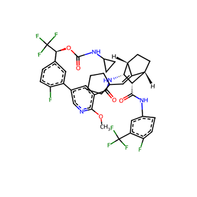 COc1ncc(-c2cc([C@H](OC(=O)NC3CC3)C(F)(F)F)ccc2F)cc1C(=O)N[C@H]1[C@@H](C(=O)Nc2ccc(F)c(C(F)(F)F)c2)[C@H]2CC[C@@H]1/C2=C\C1CCCC1